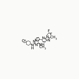 CNc1nc(NC2CCC3(CC2)COC3)nn2ccc(-c3ccc4nc(C)n(CC(F)F)c4n3)c12